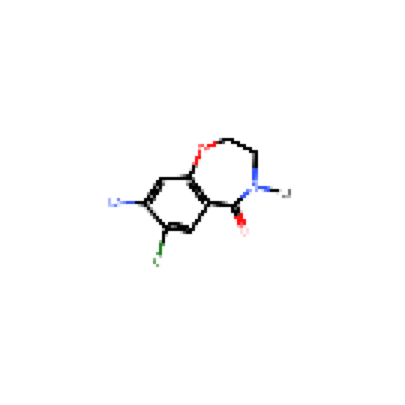 CN1CCOc2cc(N)c(Cl)cc2C1=O